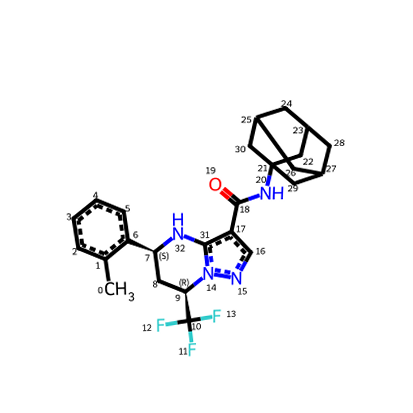 Cc1ccccc1[C@@H]1C[C@H](C(F)(F)F)n2ncc(C(=O)NC34CC5CC(CC(C5)C3)C4)c2N1